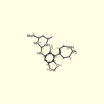 CNC1CC(C)NC(Nc2cc3c(c(C4=CCN[C@@H](C)CC4)c2Cl)OCO3)N1